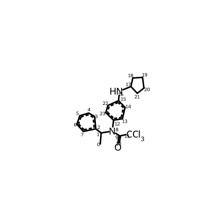 CC(c1ccccc1)N(C(=O)C(Cl)(Cl)Cl)c1ccc(NC2CCCC2)cc1